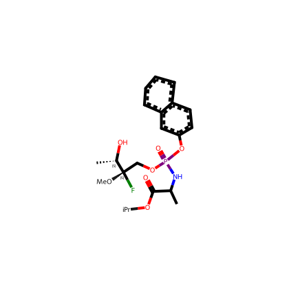 CO[C@](F)(COP(=O)(NC(C)C(=O)OC(C)C)Oc1ccc2ccccc2c1)[C@H](C)O